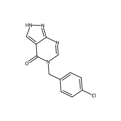 O=c1c2c[nH]nc2ncn1Cc1ccc(Cl)cc1